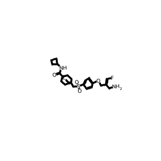 NCC(=CF)COc1ccc(S(=O)(=O)CC23CCC(C(=O)NC4CCC4)(CC2)CC3)cc1